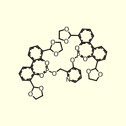 c1cnc(COp2oc3c(C4OCCO4)cccc3c3cccc(C4OCCO4)c3o2)c(Op2oc3c(C4OCCO4)cccc3c3cccc(C4OCCO4)c3o2)c1